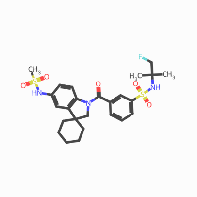 CC(C)(CF)NS(=O)(=O)c1cccc(C(=O)N2CC3(CCCCC3)c3cc(NS(C)(=O)=O)ccc32)c1